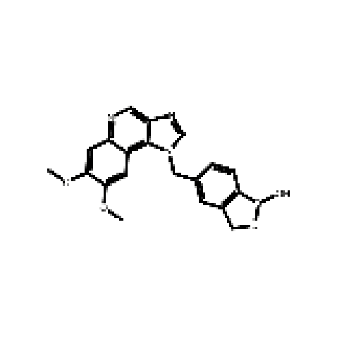 COc1cc2ncc3ncn(Cc4ccc5c(c4)COB5O)c3c2cc1OC